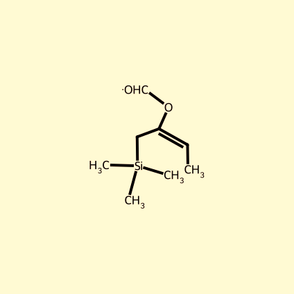 CC=C(C[Si](C)(C)C)O[C]=O